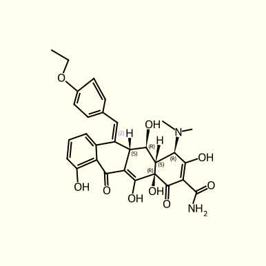 CCOc1ccc(/C=C2\c3cccc(O)c3C(=O)C3=C(O)[C@@]4(O)C(=O)C(C(N)=O)=C(O)[C@H](N(C)C)[C@H]4[C@H](O)[C@H]32)cc1